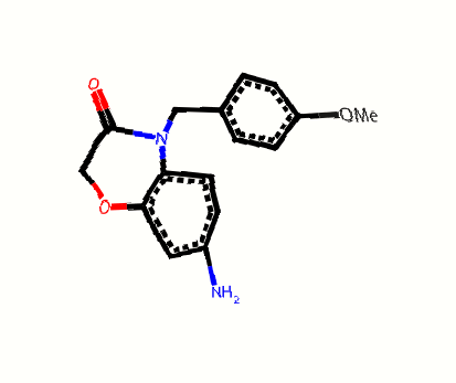 COc1ccc(CN2C(=O)COc3cc(N)ccc32)cc1